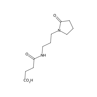 O=C(O)CCC(=O)NCCCN1CCCC1=O